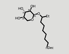 CCCCCCCCCCCCCCCCC(CC)O[C@H]1OC[C@@H](O)[C@H](O)[C@H]1O